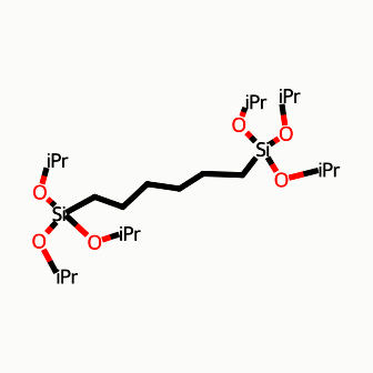 CC(C)O[Si](CCCCCC[Si](OC(C)C)(OC(C)C)OC(C)C)(OC(C)C)OC(C)C